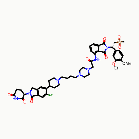 CCOc1cc([C@@H](CS(C)(=O)=O)N2C(=O)c3cccc(NC(=O)CN4CCN(CCCCN5CCC(c6cc7c(cc6F)C(=O)N(C6CCC(=O)NC6=O)C7)CC5)CC4)c3C2=O)ccc1OC